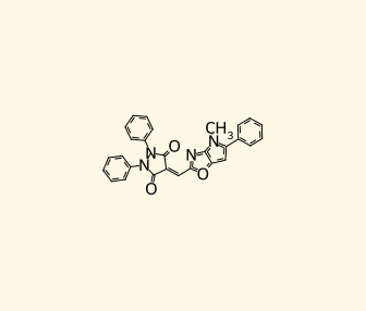 Cn1c(-c2ccccc2)cc2oc(C=C3C(=O)N(c4ccccc4)N(c4ccccc4)C3=O)nc21